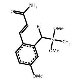 CCC(c1cc(OC)ccc1/C=C/C(N)=O)[Si](C)(OC)OC